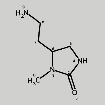 CN1C(=O)NCC1CCN